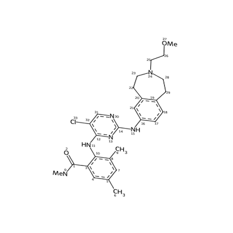 CNC(=O)c1cc(C)cc(C)c1Nc1nc(Nc2ccc3c(c2)CCN(CCOC)CC3)ncc1Cl